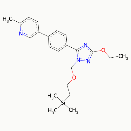 CCOc1nc(-c2ccc(-c3ccc(C)nc3)cc2)n(COCC[Si](C)(C)C)n1